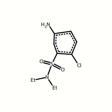 CCN(CC)S(=O)(=O)c1cc(N)ccc1Cl